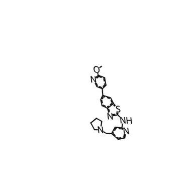 COc1ccc(-c2ccc3nc(Nc4cc(CN5CCCC5)ccn4)sc3c2)cn1